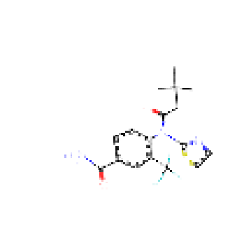 CC(C)(C)CC(=O)N(c1nccs1)c1ccc(C(N)=O)cc1C(F)(F)F